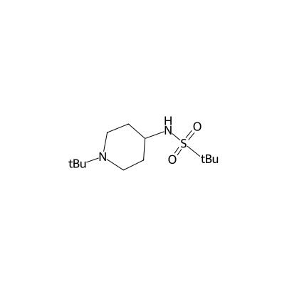 CC(C)(C)N1CCC(NS(=O)(=O)C(C)(C)C)CC1